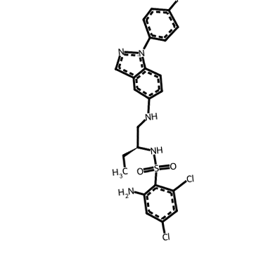 CC[C@@H](CNc1ccc2c(cnn2-c2ccc(F)cc2)c1)NS(=O)(=O)c1c(N)cc(Cl)cc1Cl